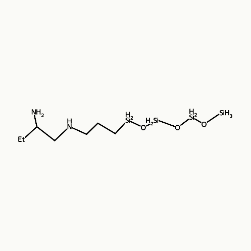 CCC(N)CNCCC[SiH2]O[SiH2]O[SiH2]O[SiH3]